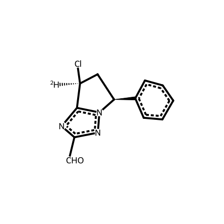 [2H][C@]1(Cl)C[C@@H](c2ccccc2)n2nc(C=O)nc21